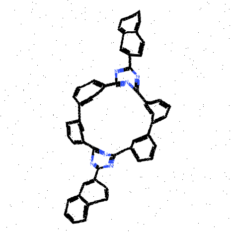 c1ccc2cc(-c3nc4nc(n3)c3cccc(c3)c3cccc(c3)c3nc(-c5ccc6ccccc6c5)nc(n3)c3cccc(c3)c3cccc4c3)ccc2c1